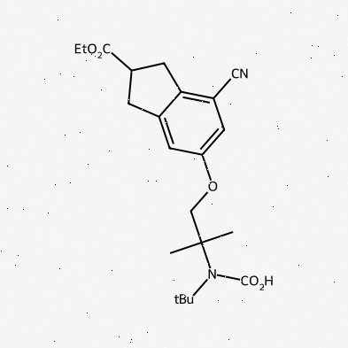 CCOC(=O)C1Cc2cc(OCC(C)(C)N(C(=O)O)C(C)(C)C)cc(C#N)c2C1